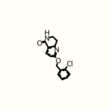 O=C1NCCc2nc(OCc3ccccc3Cl)ccc21